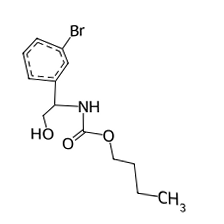 CCCCOC(=O)NC(CO)c1cccc(Br)c1